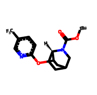 CC(C)(C)OC(=O)N1CC2CC[C@@H]1C(Oc1ccc(C(F)(F)F)cn1)C2